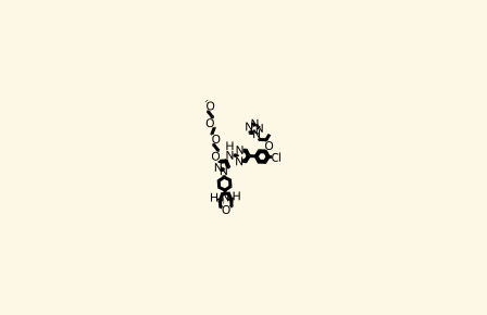 COCCOCCOCCOc1nn(C2CCC(N3[C@@H]4CC[C@H]3COC4)CC2)cc1Nc1ncc(-c2ccc(Cl)c(OC(C)Cn3cnnn3)c2)cn1